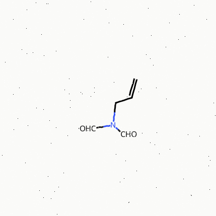 C=CCN([C]=O)C=O